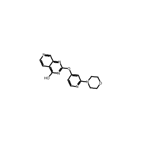 Oc1nc(Oc2ccnc(N3CCOCC3)c2)nc2cnccc12